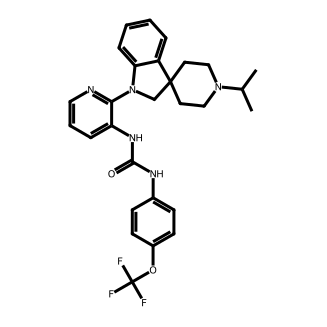 CC(C)N1CCC2(CC1)CN(c1ncccc1NC(=O)Nc1ccc(OC(F)(F)F)cc1)c1ccccc12